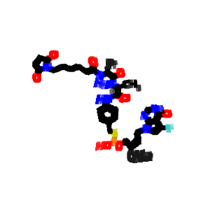 COC(CCn1cc(F)c2c(=O)[nH]cnc21)COP(O)SCc1ccc(NC(=O)[C@H](C)NC(=O)C(NC(=O)CCCCCN2C(=O)C=CC2=O)C(C)C)cc1